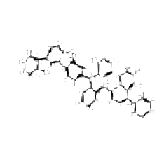 c1ccc(-c2ccc(-c3c4ccccc4c(-c4ccc5c(c4)sc4ccc6c7ccccc7sc6c45)c4ccccc34)c3ccccc23)cc1